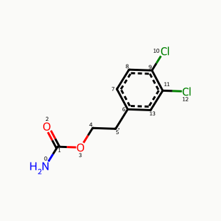 NC(=O)OC[CH]c1ccc(Cl)c(Cl)c1